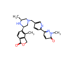 Cc1c([C@@H]2CN(Cc3ccc(-c4ccc(=O)n(C)n4)nc3)C[C@H](C)N2)ccc2c1COC2=O